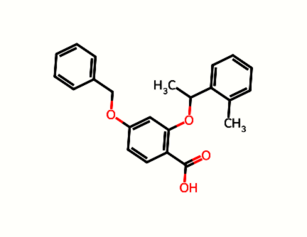 Cc1ccccc1C(C)Oc1cc(OCc2ccccc2)ccc1C(=O)O